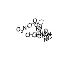 COc1ccc(Cl)cc1-c1nn([C@H]2CCCC[C@H]2OC(=O)c2ccc([N+](=O)[O-])cc2)cc1NC(=O)c1cnn2cccnc12